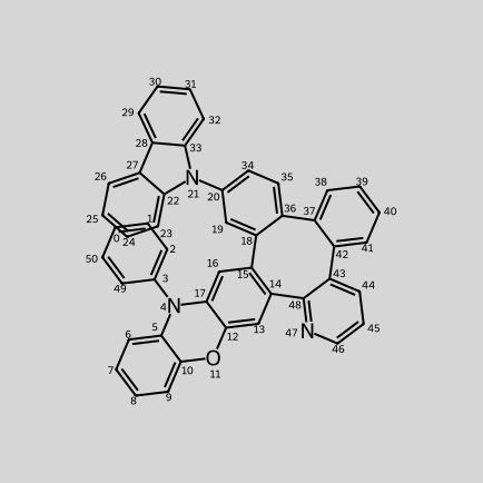 c1ccc(-n2c3ccccc3oc3cc4c(cc32)c2cc(-n3c5ccccc5c5ccccc53)ccc2c2ccccc2c2cccnc24)cc1